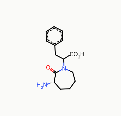 N[C@H]1CCCCN(C(Cc2ccccc2)C(=O)O)C1=O